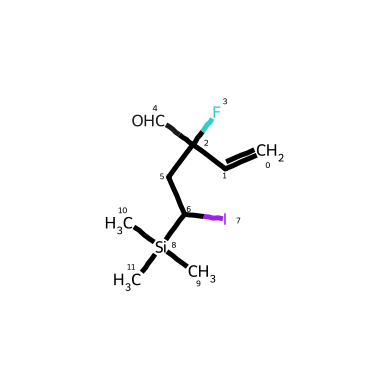 C=CC(F)(C=O)CC(I)[Si](C)(C)C